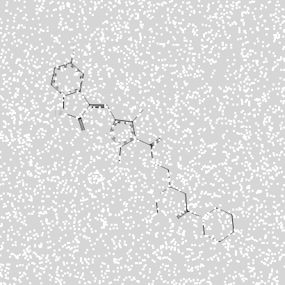 COC(CNC(=O)c1c(C)[nH]c(/C=C2\C(=O)Nc3ccc(F)cc32)c1C)CC(=O)N1CCCCC1